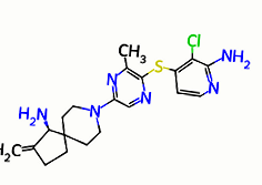 C=C1CCC2(CCN(c3cnc(Sc4ccnc(N)c4Cl)c(C)n3)CC2)[C@@H]1N